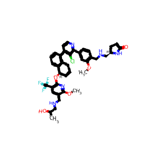 COc1cc(-c2nccc(-c3cccc4c3CCC[C@H]4Oc3nc(OC)c(CNCC(C)O)cc3C(F)(F)F)c2Cl)ccc1CNC[C@H]1CCC(=O)N1